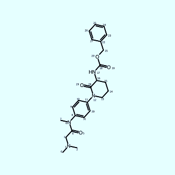 CN(C)CC(=O)N(C)c1ccc(N2CCCC(NC(=O)OCc3ccccc3)C2=O)cc1